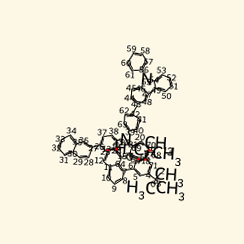 CC(C)(C)c1cc(-c2cccc3cccc(-c4ccccc4N(c4ccc(-c5ccc6ccccc6c5)cc4)c4ccc(-c5ccc6c(c5)c5ccccc5n6-c5ccccc5)cc4)c23)cc(C(C)(C)C)c1